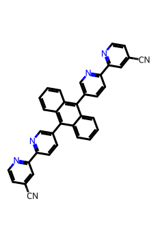 N#Cc1ccnc(-c2ccc(-c3c4ccccc4c(-c4ccc(-c5cc(C#N)ccn5)nc4)c4ccccc34)cn2)c1